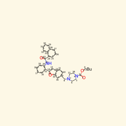 CCCCOC(=O)N1CCN(Cc2ccc3cc(-c4ccccc4NC(=O)c4cccc5ccccc45)oc3c2)CC1